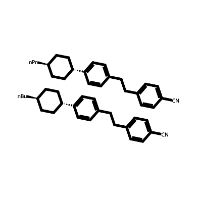 CCCC[C@H]1CC[C@H](c2ccc(CCc3ccc(C#N)cc3)cc2)CC1.CCC[C@H]1CC[C@H](c2ccc(CCc3ccc(C#N)cc3)cc2)CC1